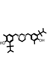 Cc1cc(CN2CCCN(Cc3cc(C)c(O)c(C(C)(C)C(C)C)c3)C2)cc(C(C)(C)C(C)C)c1O